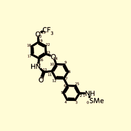 CSNc1cccc(-c2ccc3c(c2)C(=O)Nc2ccc(OC(F)(F)F)cc2O3)c1